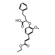 CCOC(=O)C=Cc1ccc(OC(CCc2ccccc2)C(=O)O)c(OC)c1